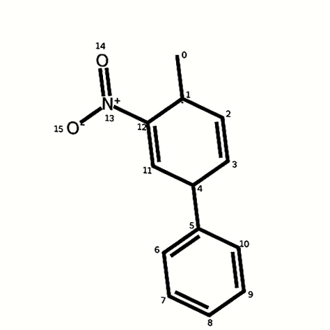 C[C]1C=CC(c2ccccc2)C=C1[N+](=O)[O-]